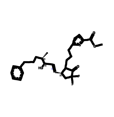 COC(=O)c1ccc(CCCC2C(=O)C(F)(F)C[C@@H]2/C=C/[C@@H](O)[C@@H](C)CCCc2ccccc2)s1